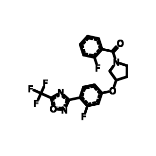 O=C(c1ccccc1F)N1CCC(Oc2ccc(-c3noc(C(F)(F)F)n3)c(F)c2)C1